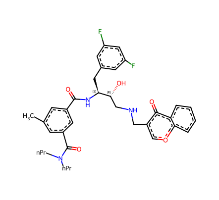 CCCN(CCC)C(=O)c1cc(C)cc(C(=O)N[C@@H](Cc2cc(F)cc(F)c2)[C@H](O)CNCc2coc3ccccc3c2=O)c1